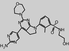 Cc1c(N2CCc3c(-c4cnc(N)nc4)nc(N4CCOCC4)nc32)cccc1S(=O)(=O)NCCO